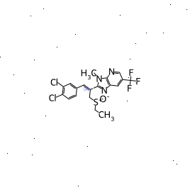 CC[S+]([O-])C/C(=C\c1ccc(Cl)c(Cl)c1)c1nc2cc(C(F)(F)F)cnc2n1C